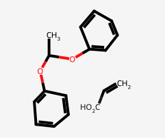 C=CC(=O)O.CC(Oc1ccccc1)Oc1ccccc1